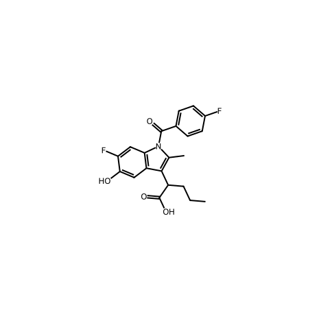 CCCC(C(=O)O)c1c(C)n(C(=O)c2ccc(F)cc2)c2cc(F)c(O)cc12